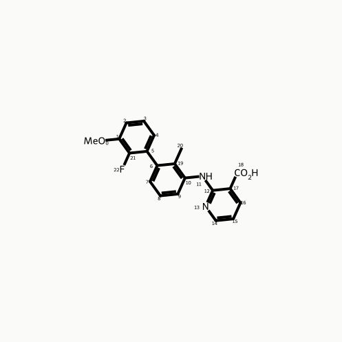 COc1cccc(-c2cccc(Nc3ncccc3C(=O)O)c2C)c1F